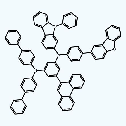 c1ccc(-c2ccc(N(c3ccc(-c4ccccc4)cc3)c3cc(-c4cc5ccccc5c5ccccc45)cc(N(c4ccc(-c5ccc6oc7ccccc7c6c5)cc4)c4ccc5c6ccccc6n(-c6ccccc6)c5c4)c3)cc2)cc1